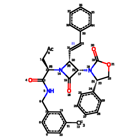 CC(=O)C[C@H](C(=O)NCc1cccc(C(F)(F)F)c1)N1C(=O)[C@@H](N2C(=O)OC[C@@H]2c2ccccc2)[C@H]1/C=C/c1ccccc1